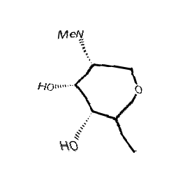 CN[C@@H]1COC(C)[C@H](O)[C@@H]1O